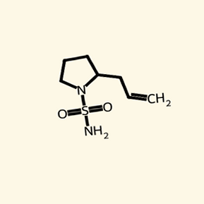 C=CCC1CCCN1S(N)(=O)=O